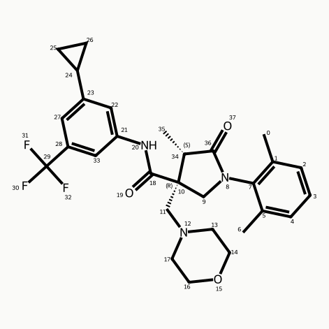 Cc1cccc(C)c1N1C[C@@](CN2CCOCC2)(C(=O)Nc2cc(C3CC3)cc(C(F)(F)F)c2)[C@H](C)C1=O